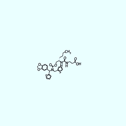 CCCC[C@@H](COC(=O)N(Cc1cccs1)C(c1ccc2c(c1)OCO2)c1cccs1)NC(=O)NCCC(=O)O